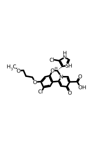 COCCCOc1cc2c(cc1Cl)-c1cc(=O)c(C(=O)O)cn1[C@@H](C1=C(Cl)NC=[SH]1)O2